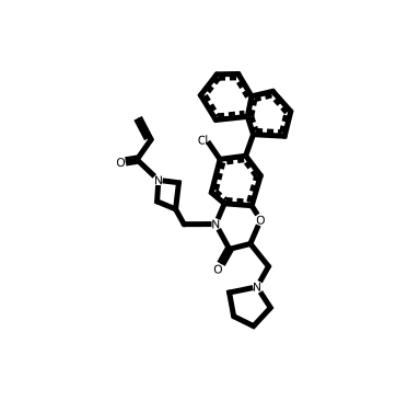 C=CC(=O)N1CC(CN2C(=O)C(CN3CCCC3)Oc3cc(-c4cccc5ccccc45)c(Cl)cc32)C1